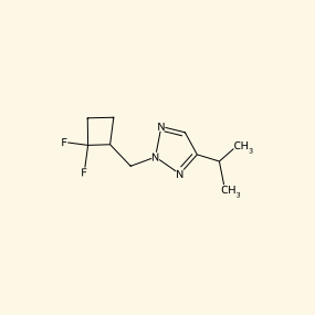 CC(C)c1cnn(CC2CCC2(F)F)n1